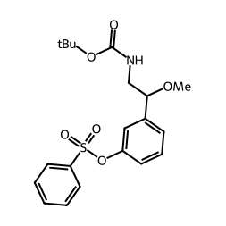 COC(CNC(=O)OC(C)(C)C)c1cccc(OS(=O)(=O)c2ccccc2)c1